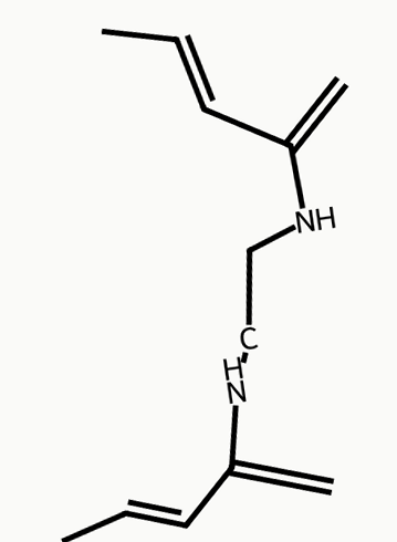 C=C(/C=C/C)NCCNC(=C)/C=C/C